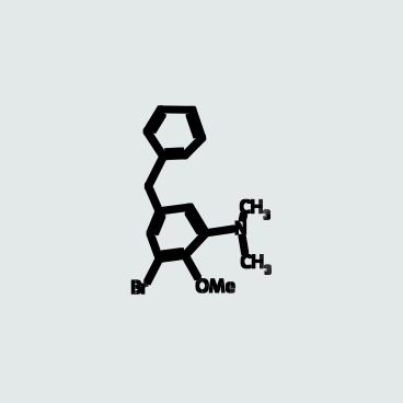 COc1c(Br)cc(Cc2ccccc2)cc1N(C)C